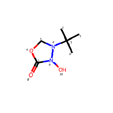 CC(C)(C)N1COC(=O)N1O